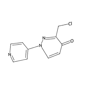 O=c1ccn(-c2ccncc2)nc1CCl